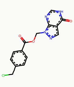 O=C(OCn1ncc2c(=O)[nH]cnc21)c1ccc(CCl)cc1